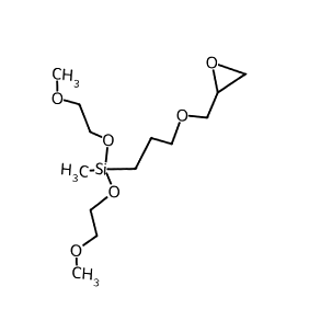 COCCO[Si](C)(CCCOCC1CO1)OCCOC